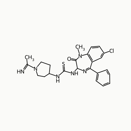 CC(=N)N1CCC(NC(=S)NC2N=C(c3ccccc3)c3cc(Cl)ccc3N(C)C2=O)CC1